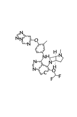 Cc1cc(Nc2ncnc3ccc(OC(F)F)c(N4C[C@@H]5[C@H]4CCN5C)c23)ccc1Oc1cc2ncnn2cn1